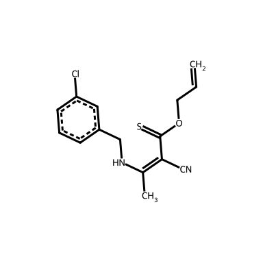 C=CCOC(=S)C(C#N)=C(C)NCc1cccc(Cl)c1